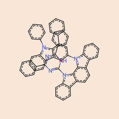 c1ccc(C2=NC(c3ccccc3)NC(n3c4ccccc4c4ccc5c6ccccc6n(-c6cc(-c7ccccc7)c7c(c6)c6ccccc6n7-c6ccccc6)c5c43)=N2)cc1